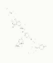 CC1(C)CCC(CN2CCN(c3ccc(C(=O)NS(=O)(=O)c4ccc(NCC5CCN(C6COC6)CC5)c([N+](=O)[O-])c4)c(Oc4cnc5[nH]ccc5c4)c3)CC2)=C(c2ccc(Cl)cc2)C1